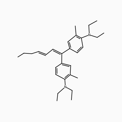 CCCC=CC=C(c1ccc(N(CC)CC)c(C)c1)c1ccc(N(CC)CC)c(C)c1